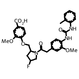 COc1cc(CC(=O)N2CC(F)CC2COc2ccc(C(=O)O)cc2OC)ccc1NC(=O)Nc1ccccc1C